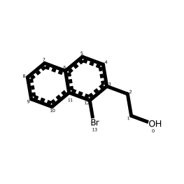 OCCc1ccc2ccccc2c1Br